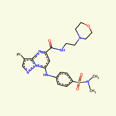 CC(C)c1cnn2c(Nc3ccc(S(=O)(=O)N(C)C)cc3)cc(C(=O)NCCN3CCOCC3)nc12